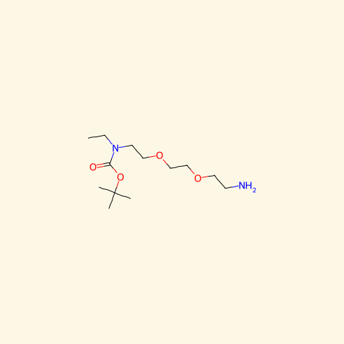 CCN(CCOCCOCCN)C(=O)OC(C)(C)C